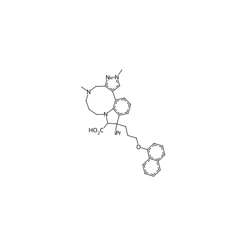 CC(C)C1(CCCOc2cccc3ccccc23)c2cccc3c2N(CCCN(C)Cc2nn(C)cc2-3)C1C(=O)O